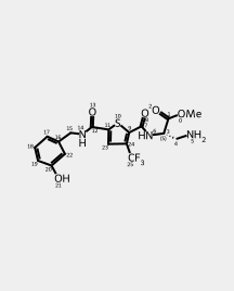 COC(=O)[C@H](CN)NC(=O)c1sc(C(=O)NCc2cccc(O)c2)cc1C(F)(F)F